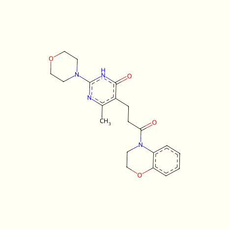 Cc1nc(N2CCOCC2)[nH]c(=O)c1CCC(=O)N1CCOc2ccccc21